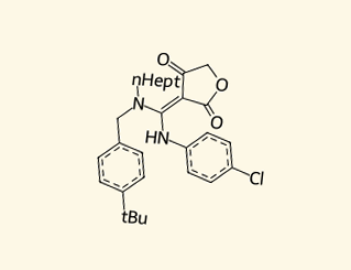 CCCCCCCN(Cc1ccc(C(C)(C)C)cc1)C(Nc1ccc(Cl)cc1)=C1C(=O)COC1=O